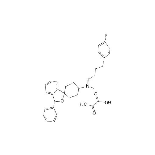 CN(CCCCc1ccc(F)cc1)C1CCC2(CC1)O[C@H](c1ccccc1)c1ccccc12.O=C(O)C(=O)O